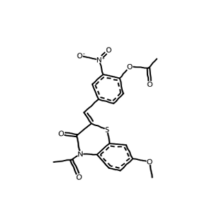 COc1ccc2c(c1)SC(=Cc1ccc(OC(C)=O)c([N+](=O)[O-])c1)C(=O)N2C(C)=O